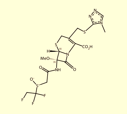 CO[C@@]1(NC(=O)C[S+]([O-])C(F)(F)CF)C(=O)N2C(C(=O)O)=C(CSc3nncn3C)CS[C@H]21